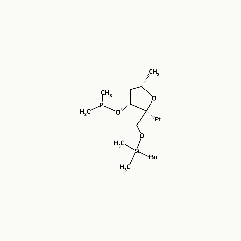 CC[C@@]1(CO[Si](C)(C)C(C)(C)C)O[C@@H](C)C[C@H]1OP(C)C